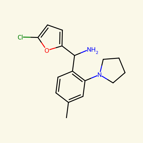 Cc1ccc(C(N)c2ccc(Cl)o2)c(N2CCCC2)c1